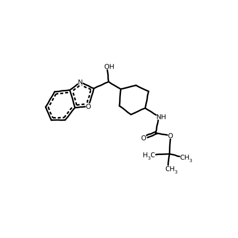 CC(C)(C)OC(=O)NC1CCC(C(O)c2nc3ccccc3o2)CC1